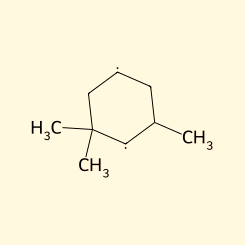 CC1[CH]C(C)(C)C[CH]C1